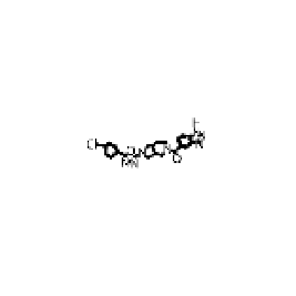 O=C(c1ccc2[nH]nnc2c1)N1CCC2CN(c3nnc(-c4ccc(Cl)cc4)o3)CC2C1